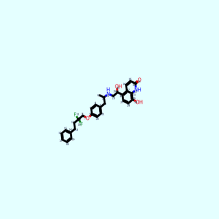 CC(Cc1ccc(OCC(F)(F)CCc2ccccc2)cc1)NCC(O)c1ccc(O)c2[nH]c(=O)ccc12